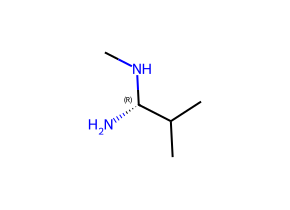 CN[C@@H](N)C(C)C